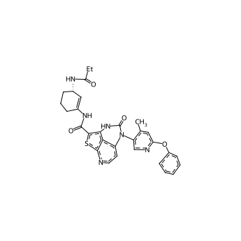 CCC(=O)N[C@@H]1C=C(NC(=O)c2sc3nccc4c3c2NC(=O)N4c2cnc(Oc3ccccc3)cc2C)CCC1